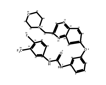 O=C(Nc1cccc(Oc2ccc3ncc(CN4CCOCC4)nc3c2)c1)Nc1ccc(F)c(C(F)(F)F)c1